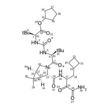 CC(C)(C)[C@H](NC(=O)N[C@H](C(=O)N1C[C@H]2[C@@H]([C@H]1C(=O)NC(CC1CCC1)C(=O)C(N)=O)C2(C)C)C(C)(C)C)C(=O)OC1CCCC1